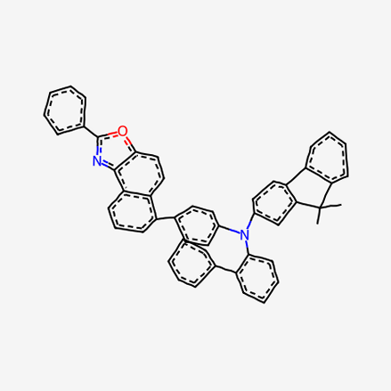 CC1(C)c2ccccc2-c2ccc(N(c3ccc(-c4cccc5c4ccc4oc(-c6ccccc6)nc45)cc3)c3ccccc3-c3ccccc3)cc21